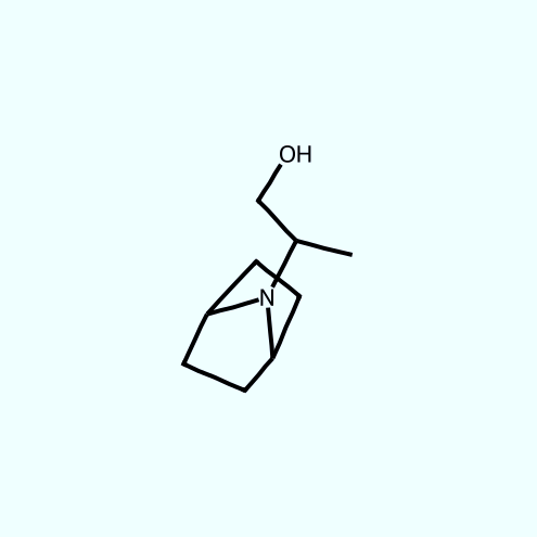 CC(CO)N1C2CCC1CC2